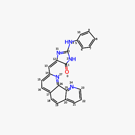 O=C1NC(Nc2ccccc2)=NC1=Cc1ccc2ccc3cccnc3c2n1